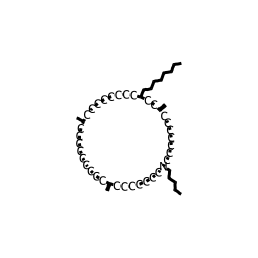 C=C1CCCCCCCCCC(C)CCCCCCCCC(CCCCCCCC)CCC(=C)CCCCCCCN(CCCCC)CCCCCCC1